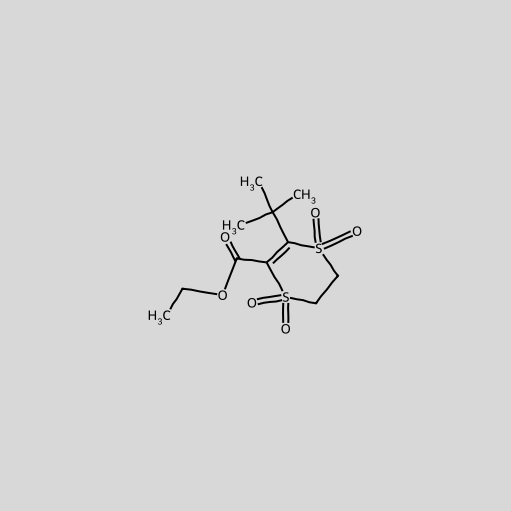 CCOC(=O)C1=C(C(C)(C)C)S(=O)(=O)CCS1(=O)=O